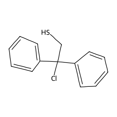 SCC(Cl)(c1ccccc1)c1ccccc1